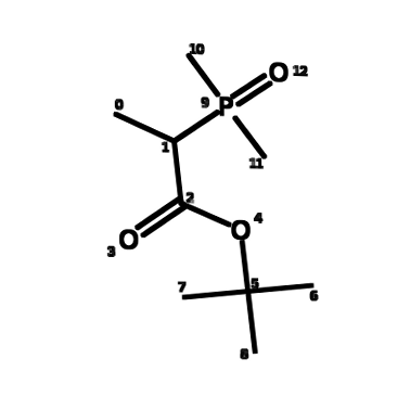 CC(C(=O)OC(C)(C)C)P(C)(C)=O